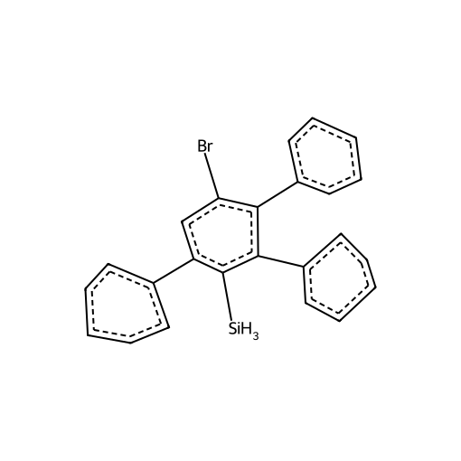 [SiH3]c1c(-c2ccccc2)cc(Br)c(-c2ccccc2)c1-c1ccccc1